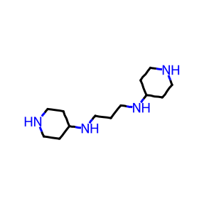 C(CNC1CCNCC1)CNC1CCNCC1